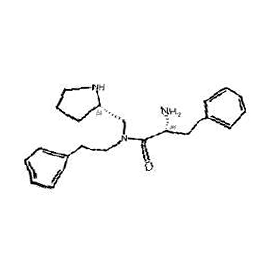 N[C@H](Cc1ccccc1)C(=O)N(CCc1ccccc1)C[C@@H]1CCCN1